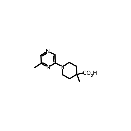 Cc1cncc(N2CCC(C)(C(=O)O)CC2)n1